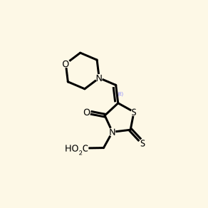 O=C(O)CN1C(=O)/C(=C\N2CCOCC2)SC1=S